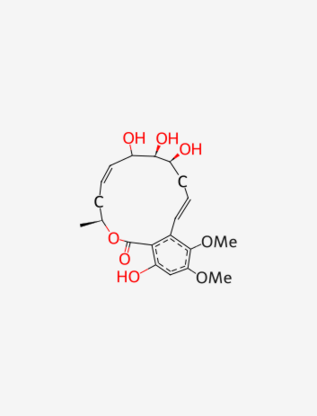 COc1cc(O)c2c(c1OC)/C=C/C[C@H](O)[C@H](O)C(O)/C=C\C[C@H](C)OC2=O